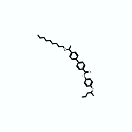 CCCCCCCCCOC(C)c1ccc(-c2ccc(C(=O)Oc3ccc(OC(C)CCC)cc3)cc2)cc1